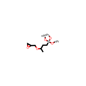 CCCO[Si](CCC(C)OCC1CO1)(OCCC)OCCC